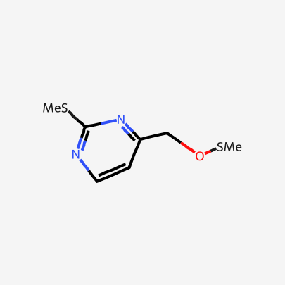 CSOCc1ccnc(SC)n1